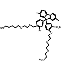 COCCOCCOCCOc1ccc(C2(c3ccc(COCCOCCOCCO)c(C(C)=O)c3)c3cc(C)ccc3-c3ccc(C)cc32)cc1C(=O)O